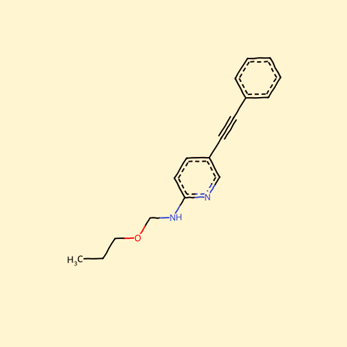 CCCOCNc1ccc(C#Cc2ccccc2)cn1